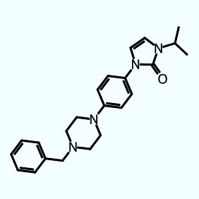 CC(C)n1ccn(-c2ccc(N3CCN(Cc4ccccc4)CC3)cc2)c1=O